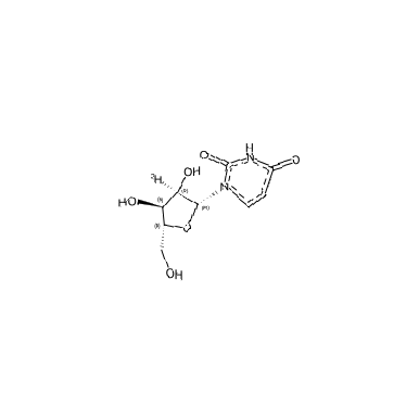 [2H][C@@]1(O)[C@H](O)[C@@H](CO)O[C@H]1n1ccc(=O)[nH]c1=O